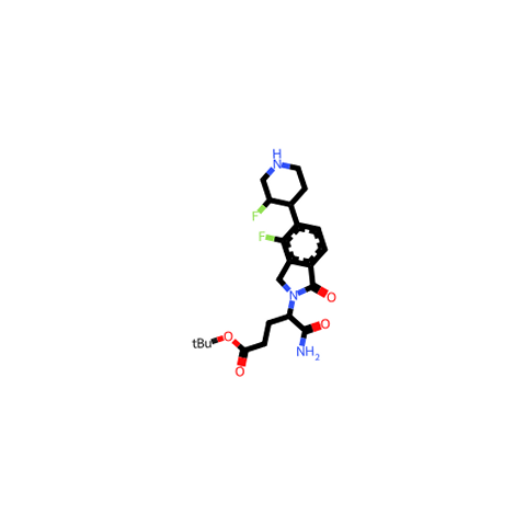 CC(C)(C)OC(=O)CCC(C(N)=O)N1Cc2c(ccc(C3CCNCC3F)c2F)C1=O